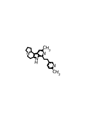 Cc1ccc(CCc2nc(C)cc3c4c([nH]c23)CCN2CCCC42)cn1